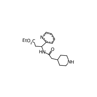 CCOC(=O)CC(NC(=O)CC1CCNCC1)c1ccccn1